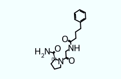 NC(=O)[C@@H]1CCCN1C(=O)CNC(=O)CCCc1ccccc1